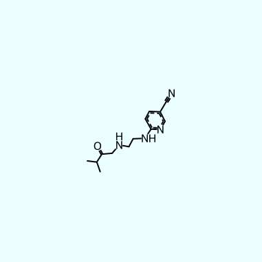 CC(C)C(=O)CNCCNc1ccc(C#N)cn1